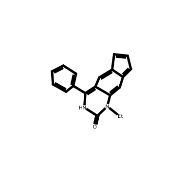 CCn1c(=O)[nH]c(-c2ccccc2)c2cc3cccc3cc21